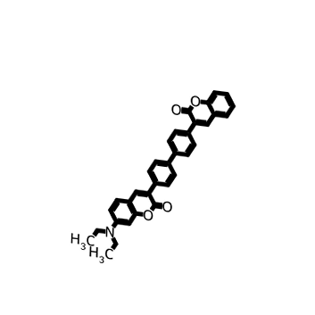 CCN(CC)c1ccc2cc(-c3ccc(-c4ccc(-c5cc6ccccc6oc5=O)cc4)cc3)c(=O)oc2c1